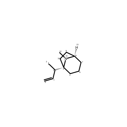 C=CC(I)[C@]12CCC[C@H](CC1)N2C